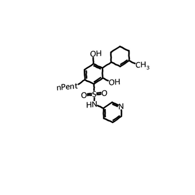 CCCCCc1cc(O)c(C2C=C(C)CCC2)c(O)c1S(=O)(=O)Nc1cccnc1